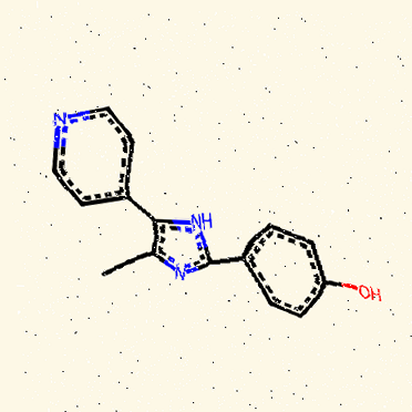 Cc1nc(-c2ccc(O)cc2)[nH]c1-c1ccncc1